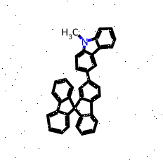 Cn1c2ccccc2c2cc(-c3ccc4c(c3)C3(c5ccccc5-c5ccccc53)c3ccccc3-4)ccc21